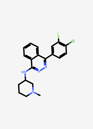 CN1CCCC(Nc2nnc(-c3ccc(Cl)c(F)c3)c3ccccc23)C1